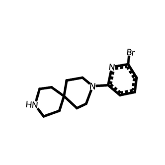 Brc1cccc(N2CCC3(CCNCC3)CC2)n1